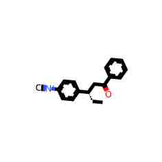 [C-]#[N+]c1ccc([C@@H](CC)CC(=O)c2ccccc2)cc1